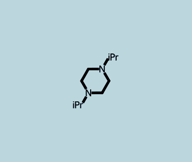 CC(C)N1CCN(C(C)C)CC1